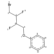 FC(CBr)C(F)COc1ccccc1